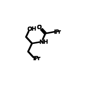 CC(C)CC(CO)NC(=O)C(C)C